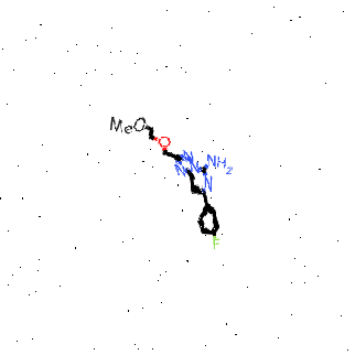 COCCOCc1nc2cc(-c3ccc(F)cc3)nc(N)n2n1